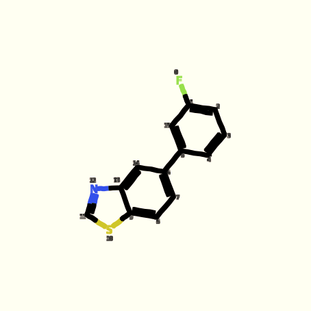 Fc1cc[c]c(-c2ccc3scnc3c2)c1